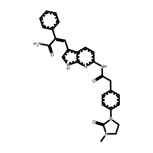 CN1CCN(c2ccc(CC(=O)Nc3ccc4c(C=C(C(N)=O)c5ccccc5)c[nH]c4n3)cc2)C1=O